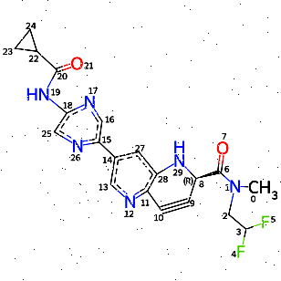 CN(CC(F)F)C(=O)[C@H]1C#Cc2ncc(-c3cnc(NC(=O)C4CC4)cn3)cc2N1